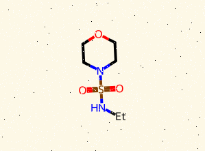 CCNS(=O)(=O)N1CCOCC1